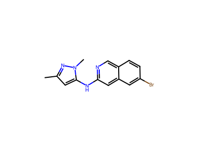 Cc1cc(Nc2cc3cc(Br)ccc3cn2)n(C)n1